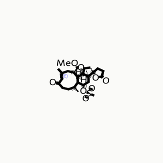 COC(=O)[C@@H]1C/C(C)=C/C(=O)CC[C@H](C)C2[C@@H]1[C@@H]1CC[C@@]3(CCC(=O)O3)[C@@]1(C)C[C@H]2OS(C)(=O)=O